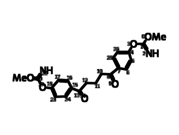 COC(=N)Oc1ccc(C(=O)CCCC(=O)c2ccc(OC(=N)OC)cc2)cc1